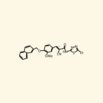 CCc1nnc(NC(=O)/C(C#N)=C/c2ccc(OCc3ccc4ccccc4c3)c(OC)c2)s1